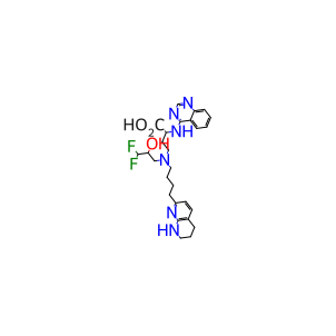 O=C(O)C(CCN(CCCCc1ccc2c(n1)NCCC2)CC(O)C(F)F)Nc1ncnc2ccccc12